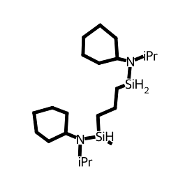 CC(C)N([SiH2]CCC[SiH](C)N(C(C)C)C1CCCCC1)C1CCCCC1